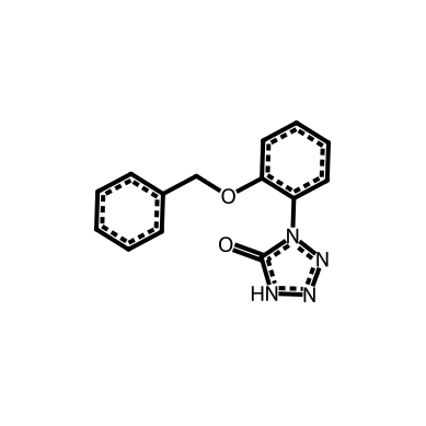 O=c1[nH]nnn1-c1ccccc1OCc1ccccc1